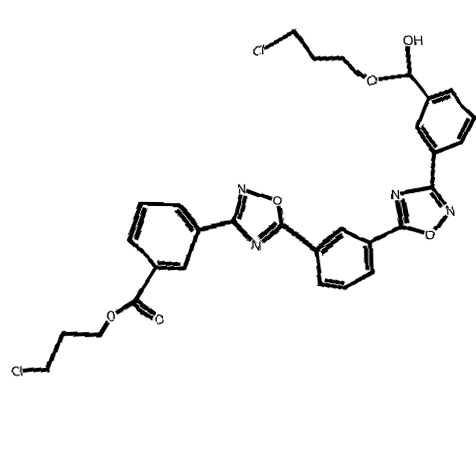 O=C(OCCCCl)c1cccc(-c2noc(-c3cccc(-c4nc(-c5cccc(C(O)OCCCCl)c5)no4)c3)n2)c1